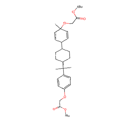 CC(C)(C)OC(=O)COc1ccc(C(C)(C)C2CCC(C3C=CC(C)(OCC(=O)OC(C)(C)C)C=C3)CC2)cc1